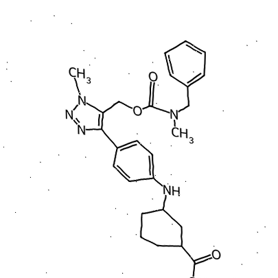 CN(Cc1ccccc1)C(=O)OCc1c(-c2ccc(NC3CCCC(C(=O)O)C3)cc2)nnn1C